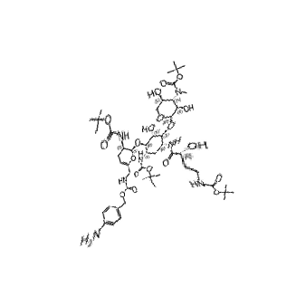 CN(C(=O)OC(C)(C)C)[C@@H]1[C@@H](O)[C@@H](O[C@@H]2[C@@H](O)[C@H](O[C@H]3OC(CNC(=O)OCc4ccc(N)cc4)=CC[C@H]3NC(=O)OC(C)(C)C)[C@@H](NC(=O)OC(C)(C)C)C[C@H]2NC(=O)[C@H](O)CCNC(=O)OC(C)(C)C)OC[C@H]1O